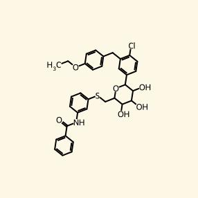 CCOc1ccc(Cc2cc(C3OC(CSc4cccc(NC(=O)c5ccccc5)c4)C(O)C(O)C3O)ccc2Cl)cc1